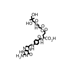 CC(C)(CO)[C@@H](O)C(=O)NCCC(=O)OC(=O)CC[C@H](NC(=O)c1ccc(NCc2cnc3[nH]c(N)nc(=O)c3n2)cc1)C(=O)O